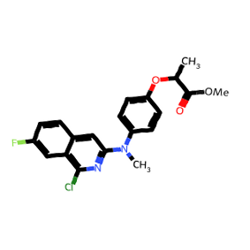 COC(=O)C(C)Oc1ccc(N(C)c2cc3ccc(F)cc3c(Cl)n2)cc1